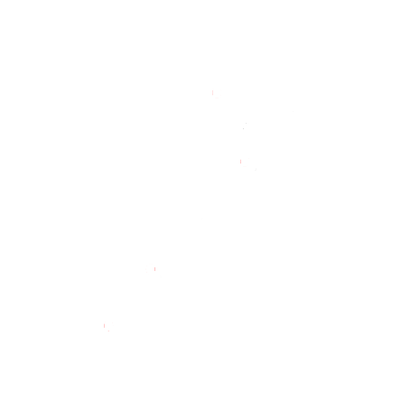 C=CC(=O)OCCCOC=O